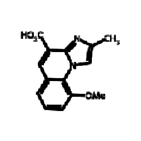 COc1cccc2cc(C(=O)O)c3nc(C)cn3c12